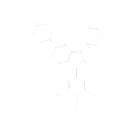 CS(=O)(=O)N1CCN(c2cnc3c(-c4cc(O)c(F)c(C(F)(F)F)c4)nn(C4CCCCO4)c3n2)CC1